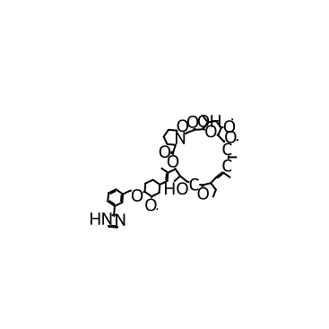 CCC1/C=C(\C)CC(C)CC(OC)C2OC(O)(C(=O)C(=O)N3CCCCC3C(=O)OC(C(C)=CC3CCC(OCc4cccc(-c5ncc[nH]5)c4)C(OC)C3)C(C)C(O)CC1=O)C(C)CC2OC